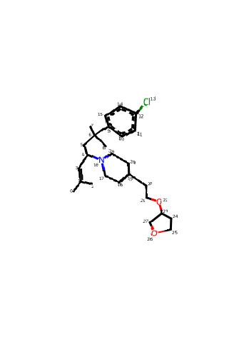 CC(C)=CC(CC(C)(C)c1ccc(Cl)cc1)N1CCC(CCOC2CCOC2)CC1